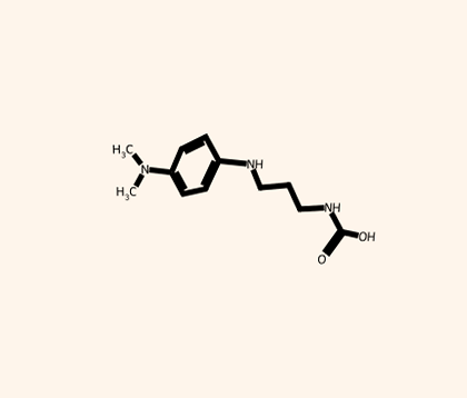 CN(C)c1ccc(NCCCNC(=O)O)cc1